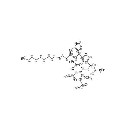 CCCC(=O)OC(CC(OC(=O)CCC)C(OC(=O)CCC)C(C)OC(=O)CCC)c1coc(C(OC(=O)CCCCCCCCCCCC(C)C)c2cnco2)n1